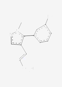 Cn1ncc(/C=C/C(=O)O)c1-c1cccc(F)c1